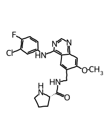 COc1cc2ncnc(Nc3ccc(F)c(Cl)c3)c2cc1CNC(=O)[C@@H]1CCCN1